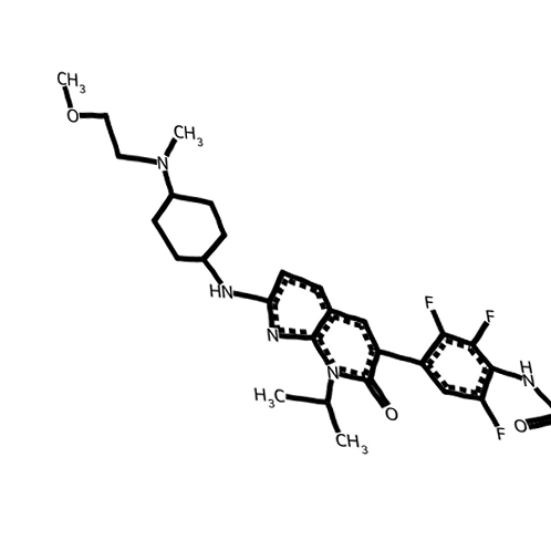 CCCS(=O)(=O)Nc1c(F)cc(-c2cc3ccc(NC4CCC(N(C)CCOC)CC4)nc3n(C(C)C)c2=O)c(F)c1F